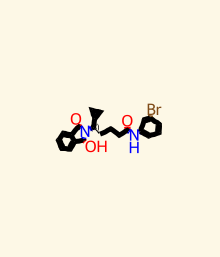 O=C(CCC[C@@H](C1CC1)N1C(=O)c2ccccc2C1O)Nc1cccc(Br)c1